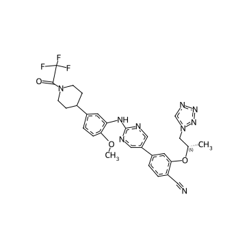 COc1ccc(C2CCN(C(=O)C(F)(F)F)CC2)cc1Nc1ncc(-c2ccc(C#N)c(O[C@@H](C)Cn3cnnn3)c2)cn1